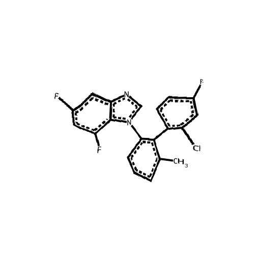 Cc1cccc(-n2cnc3cc(F)cc(F)c32)c1-c1ccc(F)cc1Cl